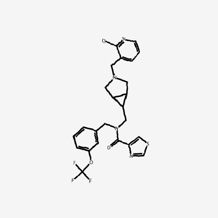 O=C(c1cscn1)N(Cc1cccc(OC(F)(F)F)c1)CC1C2CN(Cc3cccnc3Cl)CC21